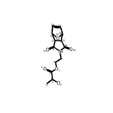 CC(Cl)C(=O)OCCN1C(=O)C2C3C=CC(O3)C2C1=O